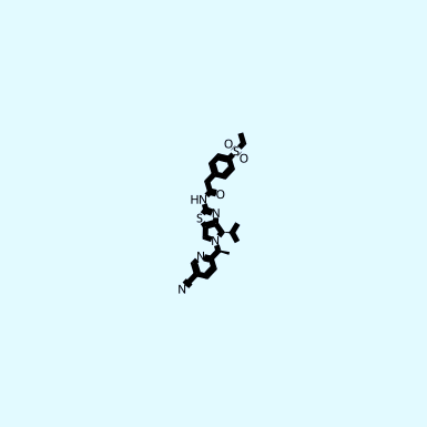 CCS(=O)(=O)c1ccc(CC(=O)Nc2nc3c(s2)CN([C@@H](C)c2ccc(C#N)cn2)[C@H]3C(C)C)cc1